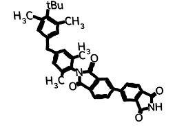 Cc1cc(Cc2cc(C)c(C(C)(C)C)c(C)c2)cc(C)c1N1C(=O)c2ccc(-c3ccc4c(c3)C(=O)NC4=O)cc2C1=O